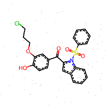 O=C(c1ccc(O)c(OCCCCl)c1)c1cc2ccccc2n1S(=O)(=O)c1ccccc1